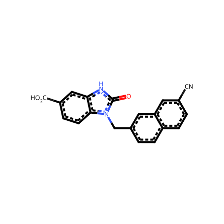 N#Cc1ccc2ccc(Cn3c(=O)[nH]c4cc(C(=O)O)ccc43)cc2c1